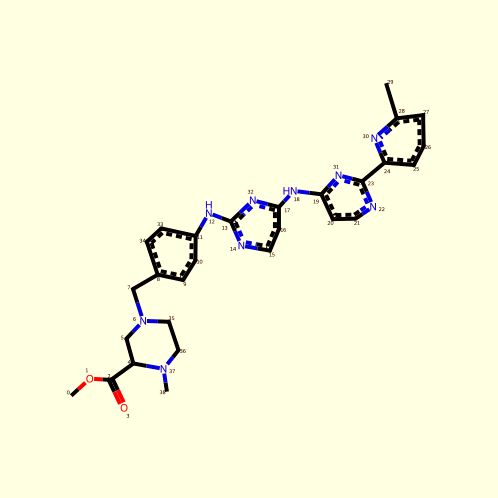 COC(=O)C1CN(Cc2ccc(Nc3nccc(Nc4ccnc(-c5cccc(C)n5)n4)n3)cc2)CCN1C